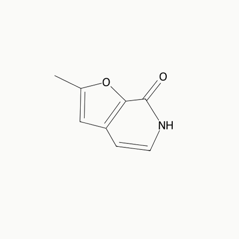 Cc1cc2cc[nH]c(=O)c2o1